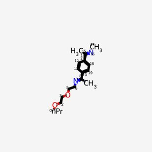 CCCOCCOCC/N=C(\C)c1ccc(/C(C)=N/C)cc1